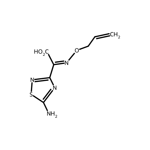 C=CCO/N=C(\C(=O)O)c1nsc(N)n1